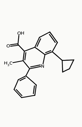 Cc1c(-c2ccccc2)nc2c(C3CCC3)cccc2c1C(=O)O